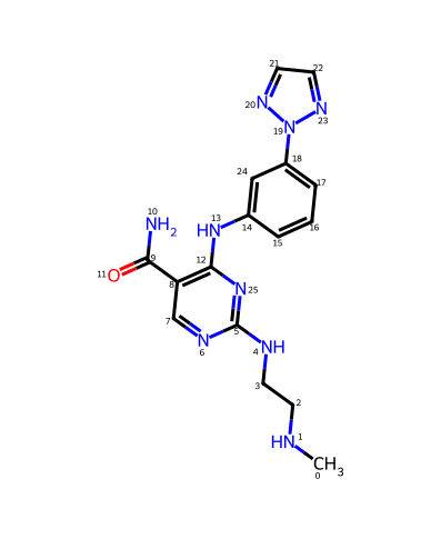 CNCCNc1ncc(C(N)=O)c(Nc2cccc(-n3nccn3)c2)n1